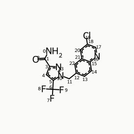 NC(=O)c1cc(C(F)(F)F)n(Cc2ccc3ncc(Cl)cc3c2)n1